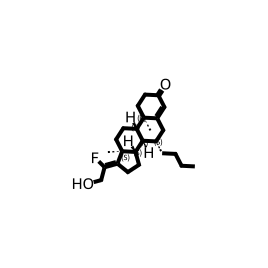 CCCC[C@H]1CC2=CC(=O)CC[C@]2(C)[C@H]2CC[C@]3(C)C(=C(F)CO)CC[C@H]3[C@H]12